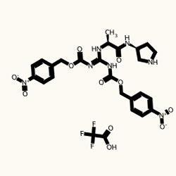 C[C@H](N/C(=N\C(=O)OCc1ccc([N+](=O)[O-])cc1)NC(=O)OCc1ccc([N+](=O)[O-])cc1)C(=O)N[C@H]1CCNC1.O=C(O)C(F)(F)F